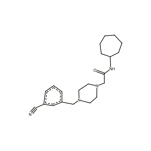 N#Cc1cccc(CN2CCN(CC(=O)NC3CCCCCC3)CC2)c1